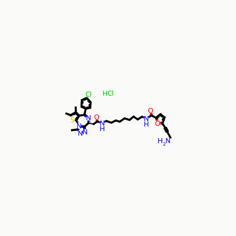 Cc1sc2c(c1C)C(c1ccc(Cl)cc1)=N[C@@H](CC(=O)NCCCCCCCCCNC(=O)c1ccc(C#CCN)o1)c1nnc(C)n1-2.Cl